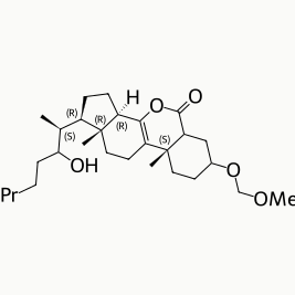 COCOC1CC[C@]2(C)C3=C(OC(=O)C2C1)[C@@H]1CC[C@H]([C@H](C)C(O)CCC(C)C)[C@@]1(C)CC3